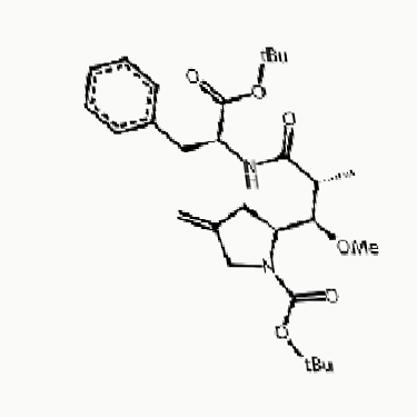 C=C1C[C@@H]([C@H](OC)[C@@H](C)C(=O)N[C@@H](Cc2ccccc2)C(=O)OC(C)(C)C)N(C(=O)OC(C)(C)C)C1